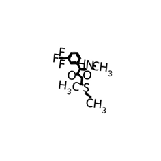 CCCSC(C)C1OC(NC)=C(c2cccc(C(F)(F)F)c2)C1=O